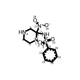 CN1CCNCC1(NS(=O)(=O)c1ccccc1)[N+](=O)[O-]